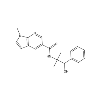 Cn1ccc2cc(C(=O)NC(C)(C)C(O)c3ccccc3)cnc21